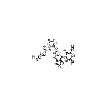 CCOC(=O)Cc1ccccc1OCc1cc(-c2cc(F)cc(C#N)c2F)c2occc2c1